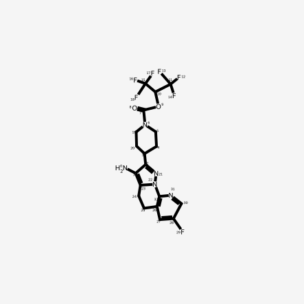 Nc1c(C2CCN(C(=O)OC(C(F)(F)F)C(F)(F)F)CC2)nn2c1CCc1cc(F)cnc1-2